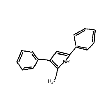 Cc1[nH]c(-c2ccccc2)cc1-c1ccccc1